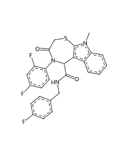 Cn1c2c(c3ccccc31)C(C(=O)NCc1ccc(F)cc1)N(c1ccc(F)cc1F)C(=O)CS2